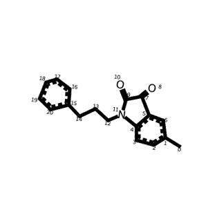 Cc1ccc2c(c1)C(=O)C(=O)N2CCCc1ccccc1